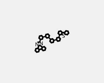 c1cc(-c2cccc(-c3cccc(-c4cccc5c4sc4ccccc45)c3)c2)cc(-c2cccc(-c3cnc4c5ccccc5c5ccccc5c4n3)c2)c1